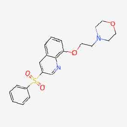 O=S(=O)(c1ccccc1)c1cnc2c(OCCN3CCOCC3)cccc2c1